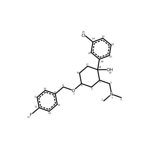 CN(C)CC1CC(OCc2ccc(F)cc2)CCC1(O)c1cccc(Cl)c1